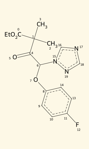 CCOC(=O)C(C)(C)C(=O)C(Oc1ccc(F)cc1)n1cncn1